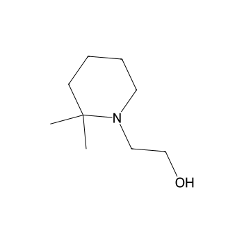 CC1(C)CCCCN1CCO